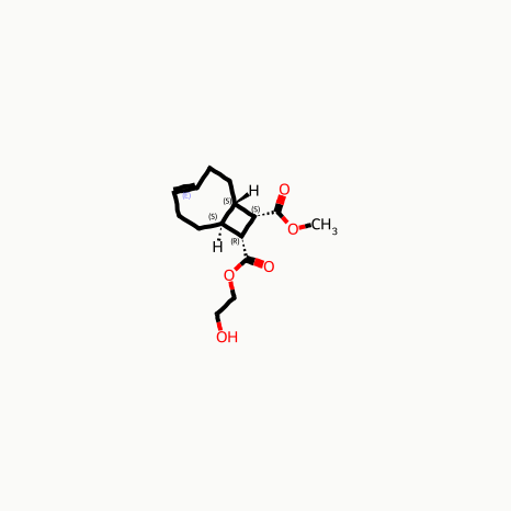 COC(=O)[C@H]1[C@H]2CC/C=C/CC[C@@H]2[C@H]1C(=O)OCCO